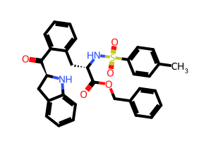 Cc1ccc(S(=O)(=O)N[C@@H](Cc2ccccc2C(=O)[C@@H]2Cc3ccccc3N2)C(=O)OCc2ccccc2)cc1